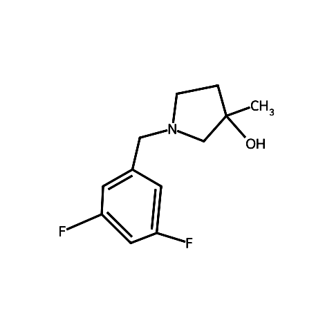 CC1(O)CCN(Cc2cc(F)cc(F)c2)C1